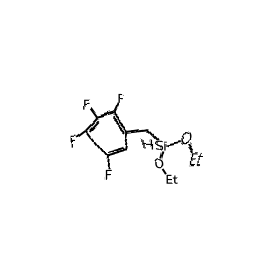 CCO[SiH](Cc1cc(F)c(F)c(F)c1F)OCC